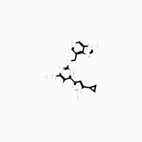 Nc1nc(NCc2cncc3[nH]cnc23)nc(-c2cc(C3CC3)[nH]n2)c1F